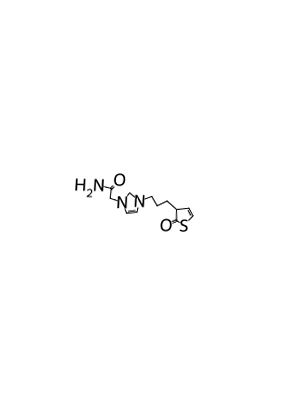 NC(=O)CN1C=CN(CCCC2C=CSC2=O)C1